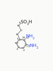 Nc1cccc(CCCS(=O)(=O)O)c1N